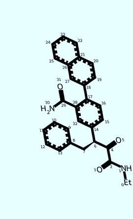 CCNC(=O)C(=O)[C@@H](Cc1ccccc1)c1ccc(-c2ccc3ccccc3c2)c(C(N)=O)c1